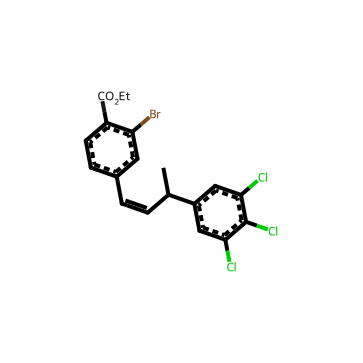 CCOC(=O)c1ccc(/C=C\C(C)c2cc(Cl)c(Cl)c(Cl)c2)cc1Br